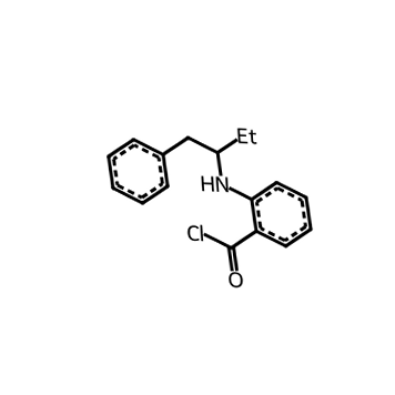 CCC(Cc1ccccc1)Nc1ccccc1C(=O)Cl